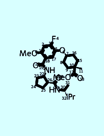 COc1cc(F)c(O[C@H]2CC[C@@](C)(C(=O)OC)CC2)cc1C(=O)N[C@@H]1CCC[C@@H]1C(=O)N[C@H](C)C(C)C